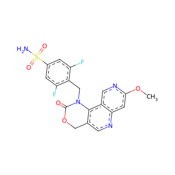 COc1cc2ncc3c(c2cn1)N(Cc1c(F)cc(S(N)(=O)=O)cc1F)C(=O)OC3